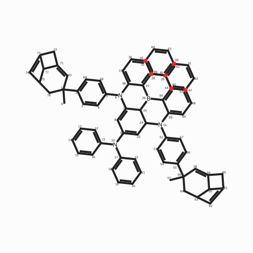 CC1(c2ccc(N3C4=CC(N(c5ccccc5)c5ccccc5)=CC5C4B(c4c(-c6ccccc6)cccc43)c3c(-c4ccccc4)cccc3N5c3ccc(C4(C)C=C5CC6=CC(C4)C65)cc3)cc2)C=C2CC3=CC(C1)C32